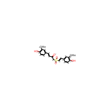 COc1cc(C=CC(=O)CS(=O)(=O)C=Cc2ccc(O)c(OC)c2)ccc1O